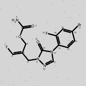 NC(=O)OC/C(=C\F)Cn1ncn(-c2ccc(Br)cc2F)c1=O